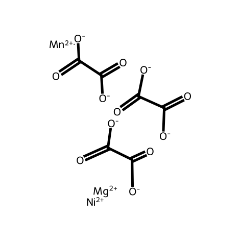 O=C([O-])C(=O)[O-].O=C([O-])C(=O)[O-].O=C([O-])C(=O)[O-].[Mg+2].[Mn+2].[Ni+2]